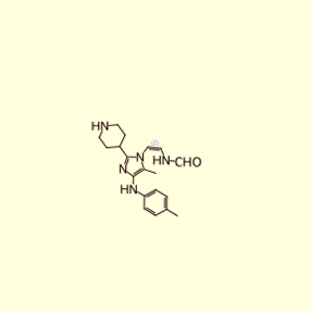 Cc1ccc(Nc2nc(C3CCNCC3)n(/C=C\NC=O)c2C)cc1